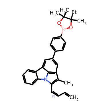 C=C/C=C\c1c(C)c2cc(-c3ccc(B4OC(C)(C)C(C)(CC)O4)cc3)cc3c4ccccc4n1c23